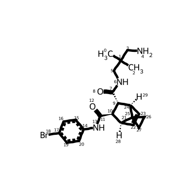 CC(C)(CN)CNC(=O)[C@H]1[C@H](C(=O)Nc2ccc(Br)cc2)[C@@H]2C=C[C@H]1C21CC1